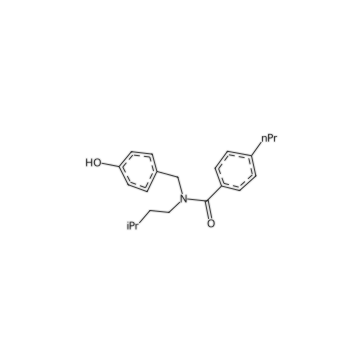 CCCc1ccc(C(=O)N(CCC(C)C)Cc2ccc(O)cc2)cc1